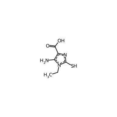 CCn1c(S)nc(C(=O)O)c1N